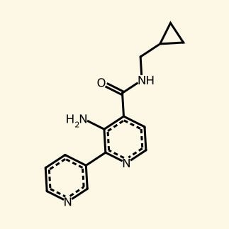 Nc1c(C(=O)NCC2CC2)ccnc1-c1cccnc1